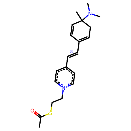 CC(=O)SCC[n+]1ccc(/C=C/C2=CCC(C)(N(C)C)C=C2)cc1